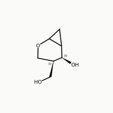 OC[C@H]1COC2CC2[C@H]1O